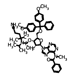 COc1ccc(C(OC[C@H]2O[C@@H](n3cnc4c(N(C)C(=O)c5ccccc5)ncnc43)[C@H](F)[C@@H]2OP(O)N(C(C)C)C(C)(C)CCC#N)(c2ccccc2)c2ccc(OC)cc2)cc1